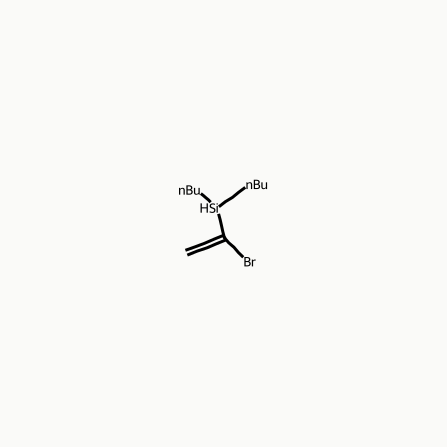 C=C(Br)[SiH](CCCC)CCCC